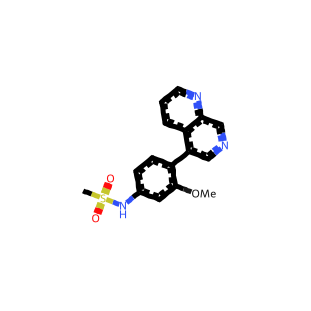 COc1cc(NS(C)(=O)=O)ccc1-c1cncc2ncccc12